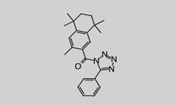 Cc1cc2c(cc1C(=O)n1nnnc1-c1ccccc1)C(C)(C)CCC2(C)C